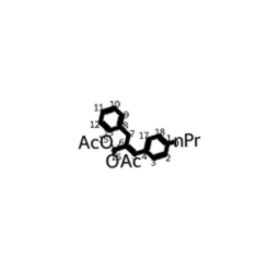 CCCc1ccc(/C=C(\Cc2ccccc2)C(OC(C)=O)OC(C)=O)cc1